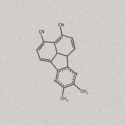 Cc1nc2c(nc1C)C1C=CC(C#N)=C3C(C#N)=CC=C2C31